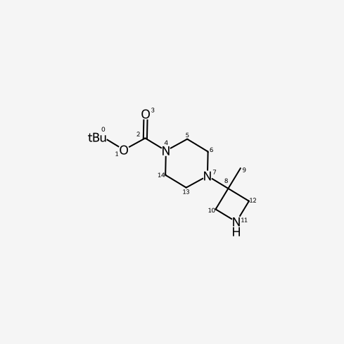 CC(C)(C)OC(=O)N1CCN(C2(C)CNC2)CC1